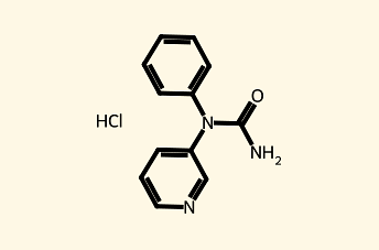 Cl.NC(=O)N(c1ccccc1)c1cccnc1